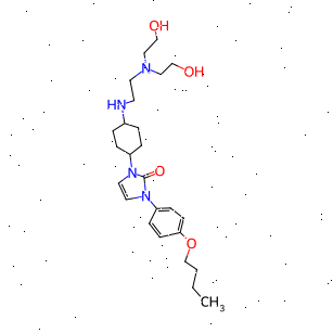 CCCCOc1ccc(-n2ccn(C3CCC(NCCN(CCO)CCO)CC3)c2=O)cc1